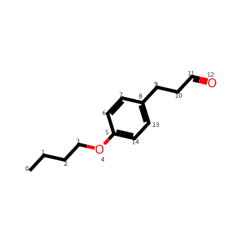 CCCCOc1ccc(CCC=O)cc1